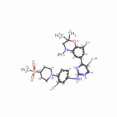 CC(C)N1CC(C)(C)Oc2c(F)cc(-c3nc(Nc4ccc(N5CCC(S(C)(=O)=O)CC5)c(F)c4)ncc3F)cc21